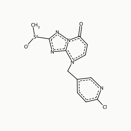 C[S+]([O-])c1nc2n(Cc3ccc(Cl)nc3)ccc(=O)n2n1